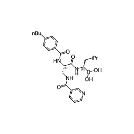 CCCCc1ccc(C(=O)N[C@@H](CNC(=O)c2cccnc2)C(=O)N[C@@H](CC(C)C)B(O)O)cc1